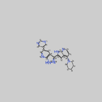 c1ncc(-c2cnc3[nH]nc(-c4cc5c(N6CCCCC6)ccnc5[nH]4)c3c2)cn1